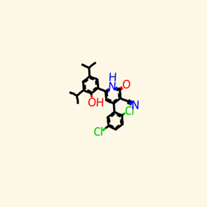 CC(C)c1cc(-c2cc(-c3cc(Cl)ccc3Cl)c(C#N)c(=O)[nH]2)c(O)c(C(C)C)c1